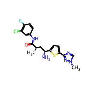 C[C@H](C[C@H](N)c1ccc(-c2ncn(C)n2)s1)C(=O)Nc1ccc(F)c(Cl)c1